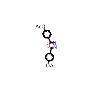 CC(=O)Oc1ccc(-c2nnc(-c3ccc(OC(C)=O)cc3)o2)cc1